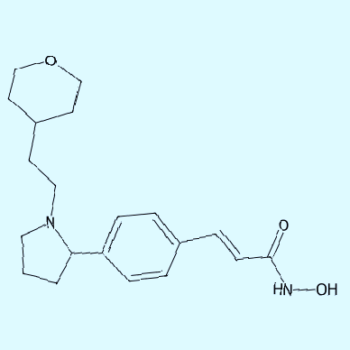 O=C(C=Cc1ccc(C2CCCN2CCC2CCOCC2)cc1)NO